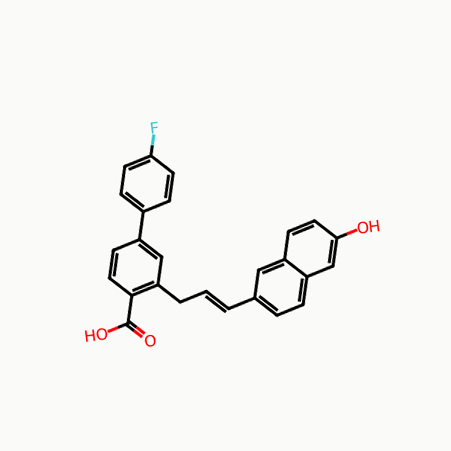 O=C(O)c1ccc(-c2ccc(F)cc2)cc1CC=Cc1ccc2cc(O)ccc2c1